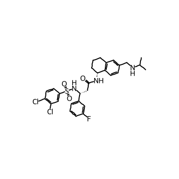 CC(C)NCc1ccc2c(c1)CCC[C@H]2NC(=O)C[C@@H](NS(=O)(=O)c1ccc(Cl)c(Cl)c1)c1cccc(F)c1